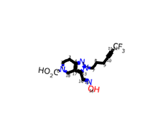 O=C(O)N1CCc2nn(CCCC#CC(F)(F)F)c(C=NO)c2C1